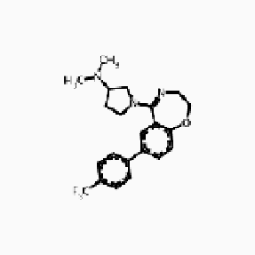 CN(C)C1CCN(C2=NCCOc3ccc(-c4ccc(C(F)(F)F)cc4)cc32)C1